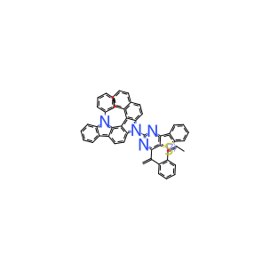 C=C(c1ccccc1/C=C\C)c1nc(-n2c3ccc4ccccc4c3c3c2ccc2c4ccccc4n(-c4ccccc4)c23)nc2c1sc1ccccc12